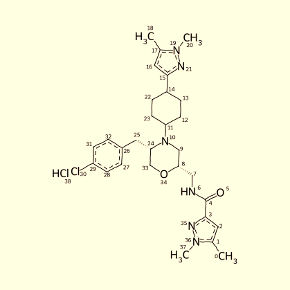 Cc1cc(C(=O)NC[C@H]2CN(C3CCC(c4cc(C)n(C)n4)CC3)[C@@H](Cc3ccc(Cl)cc3)CO2)nn1C.Cl